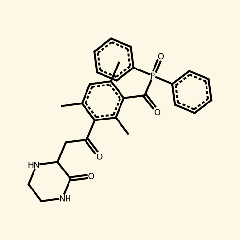 Cc1cc(C)c(C(=O)P(=O)(c2ccccc2)c2ccccc2)c(C)c1C(=O)CC1NCCNC1=O